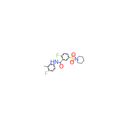 Cc1cc(NC(=O)c2cc(S(=O)(=O)N3CCCCC3)ccc2F)ccc1F